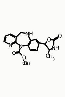 CC1NC(=O)OC1c1ccc2c(c1)NCc1cccnc1N2C(=O)OC(C)(C)C